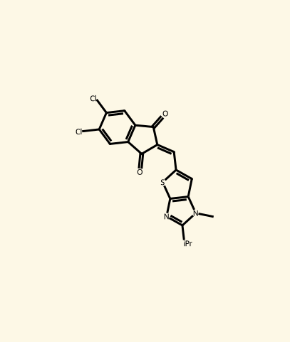 CC(C)c1nc2sc(C=C3C(=O)c4cc(Cl)c(Cl)cc4C3=O)cc2n1C